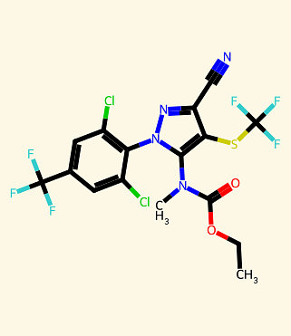 CCOC(=O)N(C)c1c(SC(F)(F)F)c(C#N)nn1-c1c(Cl)cc(C(F)(F)F)cc1Cl